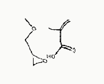 C=C(C)C(=O)O.COCC1CO1